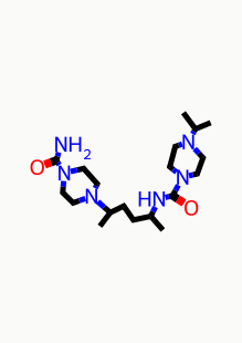 CC(CCC(C)N1CCN(C(N)=O)CC1)NC(=O)N1CCN(C(C)C)CC1